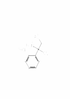 CC(=O)CC(N)(Cl)c1ccccc1.Cl